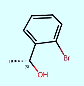 C[C@@H](O)c1ccccc1Br